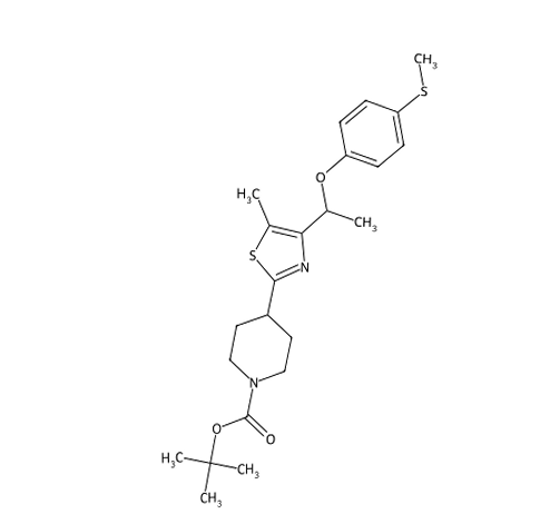 CSc1ccc(OC(C)c2nc(C3CCN(C(=O)OC(C)(C)C)CC3)sc2C)cc1